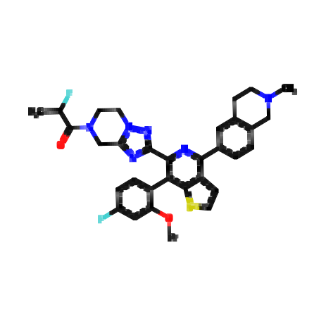 C=C(F)C(=O)N1CCn2nc(-c3nc(-c4ccc5c(c4)CCN(C)C5)c4ccsc4c3-c3ccc(F)cc3OC(C)C)nc2C1